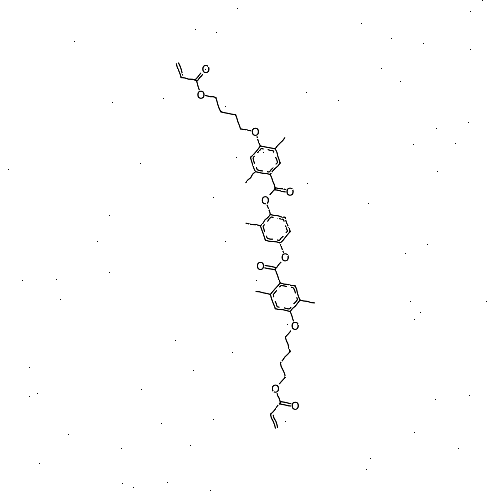 C=CC(=O)OCCCCOc1cc(C)c(C(=O)Oc2ccc(OC(=O)c3cc(C)c(OCCCCOC(=O)C=C)cc3C)c(C)c2)cc1C